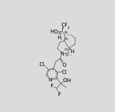 C[C@H]1[C@H]2CCC[C@@H]([C@@H](O)C(F)(F)F)[C@@H]2CCN1C(=O)Cc1c(Cl)cnc(C(C)(O)C(F)F)c1Cl